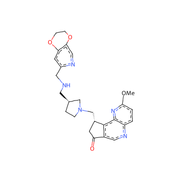 COc1ccc2ncc3c(c2n1)[C@@H](CN1CC[C@@H](CNCc2cc4c(cn2)OCCO4)C1)CC3=O